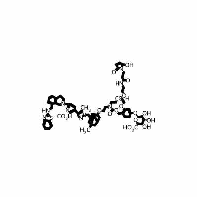 Cc1c(-c2ccc(N3CCc4cccc(CNc5nc6ccccc6s5)c4C3)nc2C(=O)O)cnn1CC12CC3CC(C)(C1)CC(OCCN(CCC(=O)O)C(=O)OCc1ccc(O[C@@H]4O[C@H](C(=O)O)[C@@H](O)[C@H](O)[C@H]4O)cc1OCCOCCNC(=O)CCN1C(=O)C=CC1O)(C3)C2